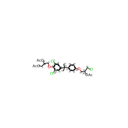 CC(=O)OC[C@H](COc1c(Cl)cc(C(C)(C)c2ccc(OC[C@@H](CCl)OC(C)=O)cc2)cc1Cl)OC(C)=O